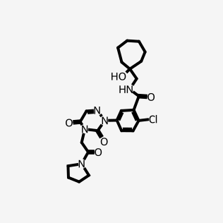 O=C(NCC1(O)CCCCCC1)c1cc(-n2ncc(=O)n(CC(=O)N3CCCC3)c2=O)ccc1Cl